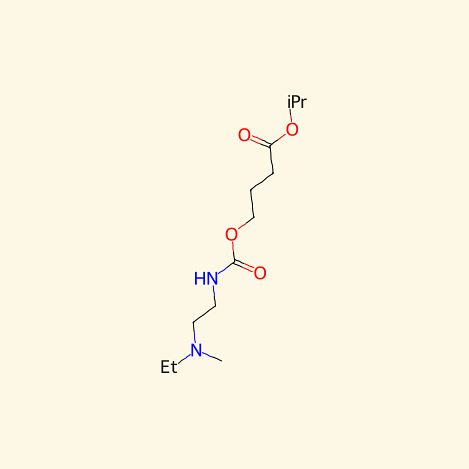 [CH2]C([CH2])OC(=O)CCCOC(=O)NCCN(C)CC